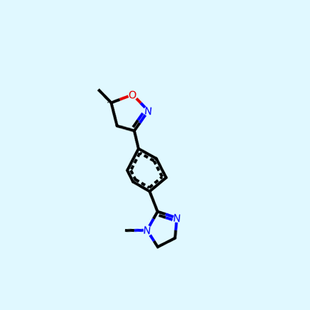 C[C]1CC(c2ccc(C3=NCCN3C)cc2)=NO1